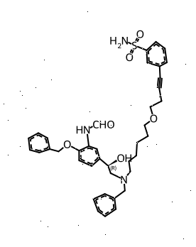 NS(=O)(=O)c1cccc(C#CCCOCCCCCCN(Cc2ccccc2)C[C@H](O)c2ccc(OCc3ccccc3)c(NC=O)c2)c1